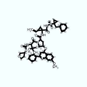 C=CC1CC1(NC(=O)C1CC(Oc2cc(-c3ccccc3)nc3cc(OC)ccc23)CN1C(=O)C(NC(=O)OC1CCOC1)C(C)(C)C)C(=O)NS(=O)(=O)C1(Cc2ccccc2)CC1